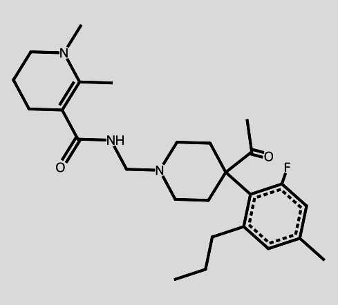 CCCc1cc(C)cc(F)c1C1(C(C)=O)CCN(CNC(=O)C2=C(C)N(C)CCC2)CC1